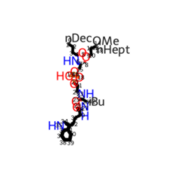 CCCCCCCCCCCCCC(=O)N[C@H](COCC[C@@H](CCCCCCC)OC)COP(=O)(O)OCCNC(=O)[C@@H](NC(=O)CCCc1c[nH]c2ccccc12)[C@@H](C)CC